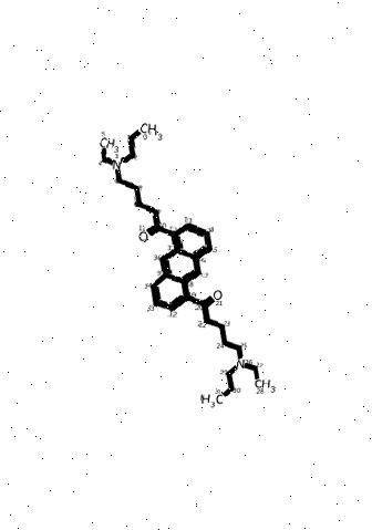 CCCN(CC)CCCCC(=O)c1cccc2cc3c(C(=O)CCCCN(CC)CCC)cccc3cc12